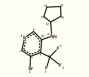 FC(F)(F)c1c(Br)cncc1NC1CCCC1